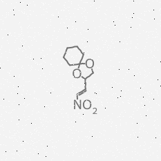 O=[N+]([O-])C=CC1COC2(CCCCC2)O1